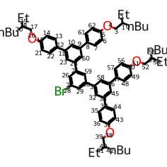 CCCCC(CC)COc1ccc(-c2cc(-c3ccc(OCC(CC)CCCC)cc3)cc(-c3cc(Br)cc(-c4cc(-c5ccc(OCC(CC)CCCC)cc5)cc(-c5ccc(OCC(CC)CCCC)cc5)c4)c3)c2)cc1